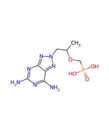 CC(Cn1nc2nc(N)nc(N)c2n1)OCP(=O)(O)O